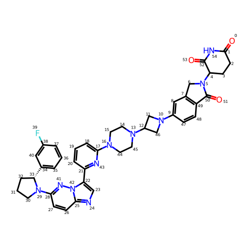 O=C1CCC(N2Cc3cc(N4CC(N5CCN(c6cccc(-c7cnc8ccc(N9CCC[C@@H]9c9cccc(F)c9)nn78)n6)CC5)C4)ccc3C2=O)C(=O)N1